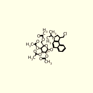 CC(=O)OC[C@H]1O[C@@H](Oc2cc3c(c4ccccc24)C(CCl)CN3C(C)C)[C@H](OC(C)=O)[C@@H](OC(C)=O)[C@H]1OC(C)=O